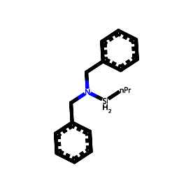 CCC[SiH2]N(Cc1ccccc1)Cc1ccccc1